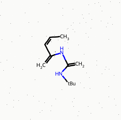 C=C(/C=C\C)NC(=C)NC(C)(C)C